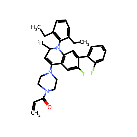 [2H]C1C=C(N2CCN(C(=O)C=C)CC2)c2cc(F)c(-c3ccccc3F)cc2N1c1c(CC)cccc1CC